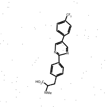 CNC(Cc1ccc(-c2ncc(-c3ccc(C(F)(F)F)cc3)cn2)cc1)C(=O)O